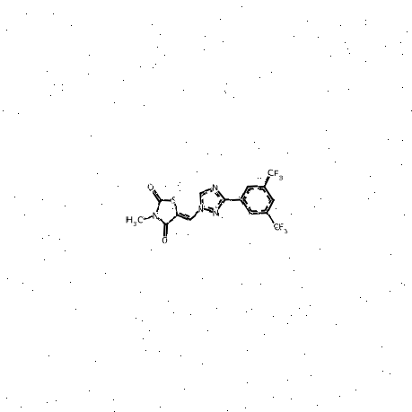 CN1C(=O)S/C(=C\n2cnc(-c3cc(C(F)(F)F)cc(C(F)(F)F)c3)n2)C1=O